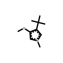 COc1cn(C)cc1C(C)(C)C